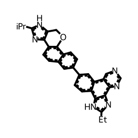 CCc1nc2c3ncncc3c3cc(-c4ccc5c6c(ccc5c4)-c4nc(C(C)C)[nH]c4CO6)ccc3c2[nH]1